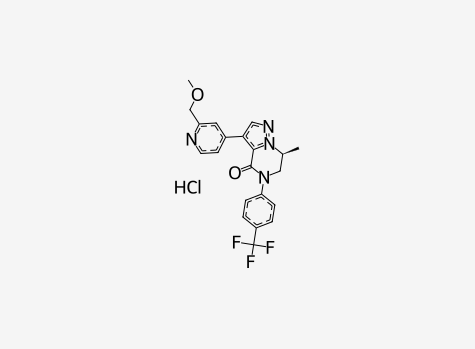 COCc1cc(-c2cnn3c2C(=O)N(c2ccc(C(F)(F)F)cc2)C[C@@H]3C)ccn1.Cl